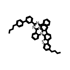 CCCCc1ccc(-c2cccc(-c3nc(-c4ccccc4)nc(-c4ccccc4-n4c5ccccc5c5ccc6c7cc(CCCC)ccc7sc6c54)n3)c2)cc1